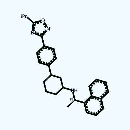 CC(C)c1nc(-c2ccc(C3CCCC(N[C@H](C)c4cccc5ccccc45)C3)cc2)no1